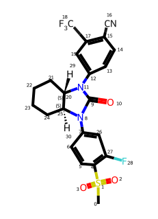 CS(=O)(=O)c1ccc(N2C(=O)N(c3ccc(C#N)c(C(F)(F)F)c3)[C@H]3CCCC[C@@H]32)cc1F